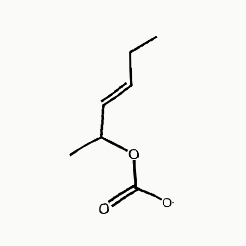 CC/C=C/C(C)OC([O])=O